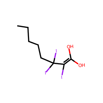 CCCCCC(I)(I)C(I)=C(O)O